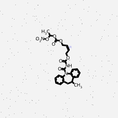 CC(OC(=O)OC/C=C\COC(=O)NC(=O)N1c2ccccc2CC(C)c2ccccc21)O[N+](=O)[O-]